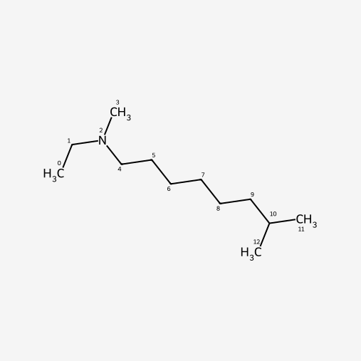 CCN(C)CCCCCCC(C)C